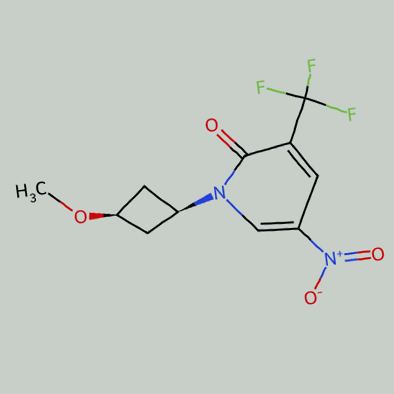 CO[C@H]1C[C@@H](n2cc([N+](=O)[O-])cc(C(F)(F)F)c2=O)C1